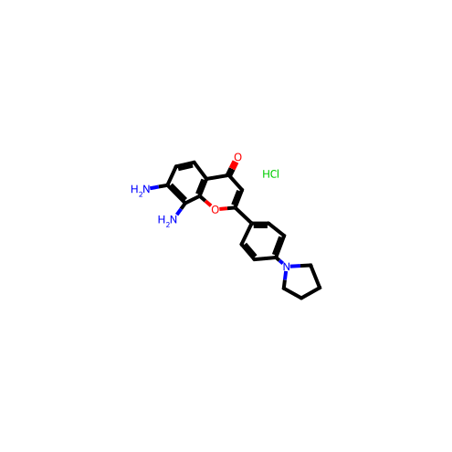 Cl.Nc1ccc2c(=O)cc(-c3ccc(N4CCCC4)cc3)oc2c1N